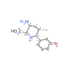 Nc1cc(F)c(-c2cccc(Br)c2)nc1C(=O)O